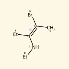 CCN/C(CC)=C(\C)Br